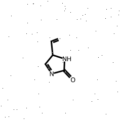 [CH]=CC1C=NC(=O)N1